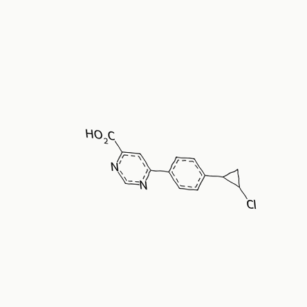 O=C(O)c1cc(-c2ccc(C3CC3Cl)cc2)ncn1